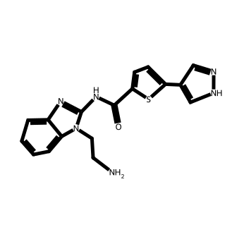 NCCn1c(NC(=O)c2ccc(-c3cn[nH]c3)s2)nc2ccccc21